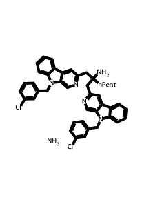 CCCCCC(N)(Cc1cc2c3ccccc3n(Cc3cccc(Cl)c3)c2cn1)Cc1cc2c3ccccc3n(Cc3cccc(Cl)c3)c2cn1.N